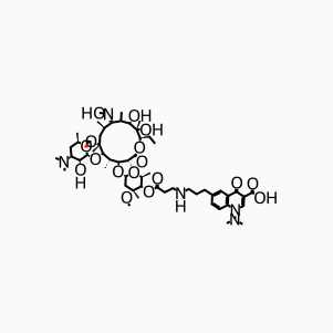 CC[C@H]1OC(=O)[C@H](C)[C@@H](O[C@H]2C[C@@](C)(OC)[C@@H](OC(=O)CCNCCCc3ccc4c(c3)c(=O)c(C(=O)O)cn4N(C)C)[C@H](C)O2)[C@H](C)[C@@H](O[C@@H]2O[C@H](C)C[C@H](N(C)C)[C@H]2O)[C@](C)(OC)C[C@@H](C)/C(=N\O)C(C)[C@@H](O)[C@]1(C)O